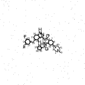 CN1CCN(c2ccc(C(=O)Nc3n[nH]c4ccc(Cc5cc(F)cc(F)c5)cc34)c(NC(=O)c3ccc[nH]3)c2)CC1